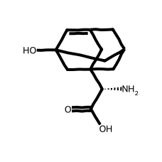 N[C@H](C(=O)O)C12CC3=CC(O)(CC(C3)C1)C2